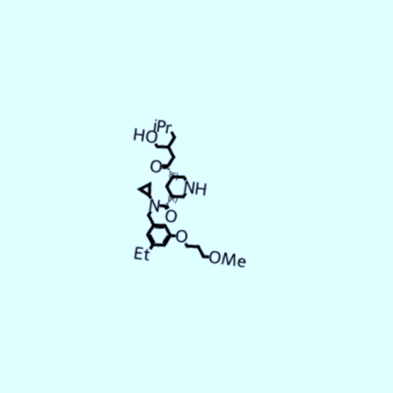 CCc1cc(CN(C(=O)[C@H]2CNC[C@@H](C(=O)CC(CO)CC(C)C)C2)C2CC2)cc(OCCCOC)c1